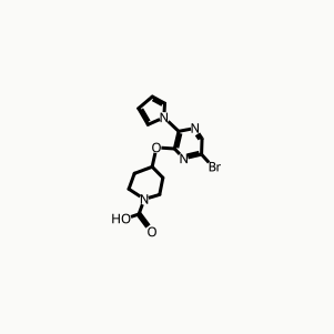 O=C(O)N1CCC(Oc2nc(Br)cnc2-n2cccc2)CC1